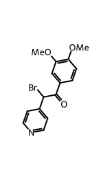 COc1ccc(C(=O)C(Br)c2ccncc2)cc1OC